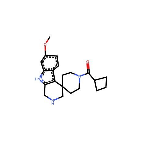 COc1ccc2c3c([nH]c2c1)CNCC31CCN(C(=O)C2CCC2)CC1